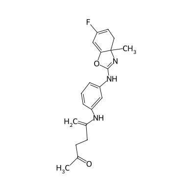 C=C(CCC(C)=O)Nc1cccc(NC2=NC3(C)CC=C(F)C=C3O2)c1